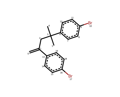 C=C(CC(C)(C)c1ccc(Br)cc1)c1ccc(Br)cc1